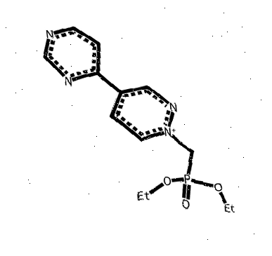 CCOP(=O)(C[n+]1ccc(-c2ccncn2)cn1)OCC